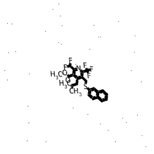 COC(=O)c1c(C(F)F)nc(C(F)(F)F)c(CSc2ccc3ccccc3c2)c1CC(C)C